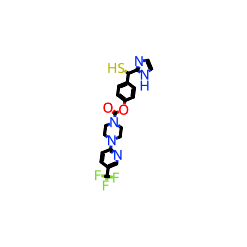 O=C(Oc1ccc(C(S)c2ncc[nH]2)cc1)N1CCN(c2ccc(C(F)(F)F)cn2)CC1